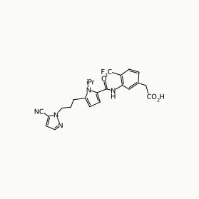 CC(C)n1c(CCCn2nccc2C#N)ccc1C(=O)Nc1cc(CC(=O)O)ccc1C(F)(F)F